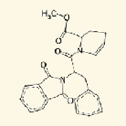 COC(=O)C1CCC=CN1C(=O)C(Cc1ccccc1)N1C(=O)c2ccccc2C1=O